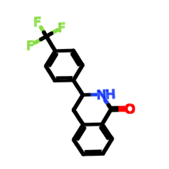 O=C1NC(c2ccc(C(F)(F)F)cc2)Cc2ccccc21